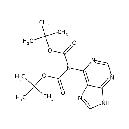 CC(C)(C)OC(=O)N(C(=O)OC(C)(C)C)c1ncnc2[nH]cnc12